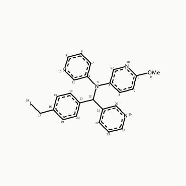 COc1ccc(N(c2cccnc2)C(c2ccc(CI)cc2)c2cccnc2)cn1